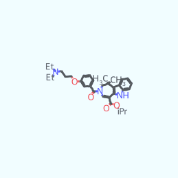 CCN(CC)CCCOc1cccc(C(=O)N2C=C(C(=O)OC(C)C)c3[nH]c4ccccc4c3C(C)(C)C2)c1